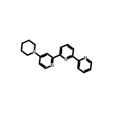 c1ccc(-c2cccc(-c3cc(N4CCCCC4)ccn3)n2)nc1